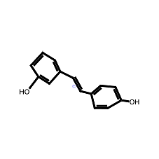 Oc1ccc(/C=C/c2c[c]cc(O)c2)cc1